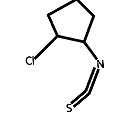 S=C=NC1CCCC1Cl